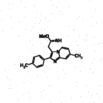 COC(=N)Cc1c(-c2ccc(C)cc2)nc2cc(C)ccn12